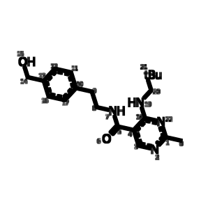 Cc1ncc(C(=O)NCCc2ccc(CO)cc2)c(NCC(C)(C)C)n1